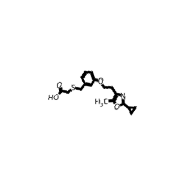 Cc1oc(C2CC2)nc1CCOc1cccc(CSCC(=O)O)c1